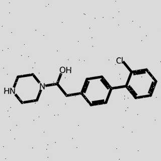 OC(Cc1ccc(-c2ccccc2Cl)cc1)N1CCNCC1